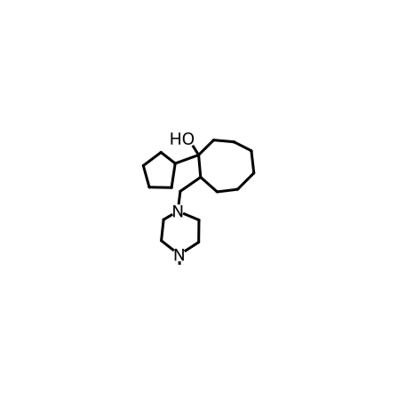 CN1CCN(CC2CCCCCCC2(O)C2CCCC2)CC1